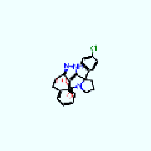 O=C(O)N1CCCC1(c1ccc(Cl)cc1)c1[nH]nc2c1-c1ccccc1CC2